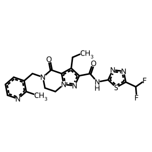 CCc1c(C(=O)Nc2nnc(C(F)F)s2)nn2c1C(=O)N(Cc1cccnc1C)CC2